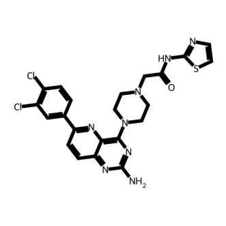 Nc1nc(N2CCN(CC(=O)Nc3nccs3)CC2)c2nc(-c3ccc(Cl)c(Cl)c3)ccc2n1